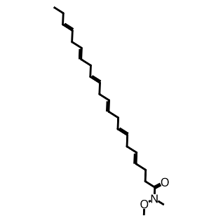 CCC=CCC=CCC=CCC=CCC=CCC=CCCC(=O)N(C)OC